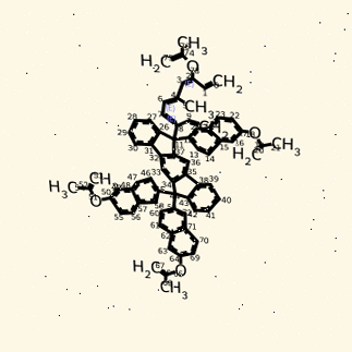 C=C\C(=C/C(C)=C/C=C(\C=C)C1(c2ccc3cc(OC(=C)C)ccc3c2)c2ccccc2-c2cc3c(cc21)-c1ccccc1C3(c1ccc2cc(OC(=C)C)ccc2c1)c1ccc2cc(OC(=C)C)ccc2c1)OC(=C)C